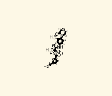 C#Cc1ccc(C(=O)NC(C)(C(=O)Nc2ccc(N3CCOCC3=O)c(C)c2)C(F)(F)F)s1